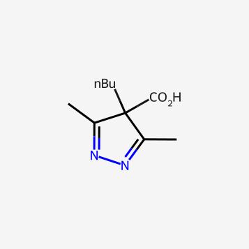 CCCCC1(C(=O)O)C(C)=NN=C1C